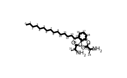 CCCCCCCCCCCCCCCc1cccc(OC(=O)[C@H](C)N)c1OC(=O)[C@H](C)N